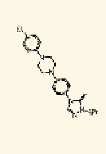 C=C1N(c2ccc(N3CCN(c4ccc(CC)cc4)CC3)cc2)C=NN1C(C)C